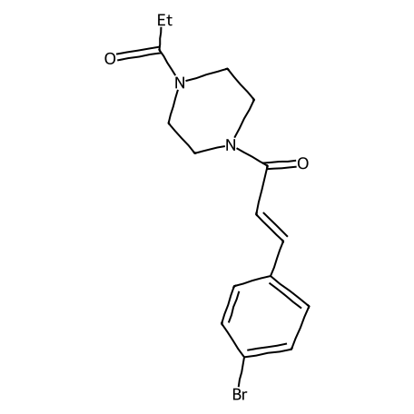 CCC(=O)N1CCN(C(=O)C=Cc2ccc(Br)cc2)CC1